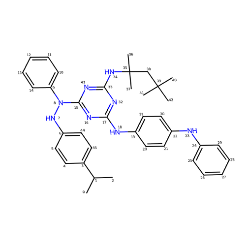 CC(C)c1ccc(NN(c2ccccc2)c2nc(Nc3ccc(Nc4ccccc4)cc3)nc(NC(C)(C)CC(C)(C)C)n2)cc1